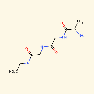 CC(N)C(=O)NCC(=O)NCC(=O)NCC(=O)O